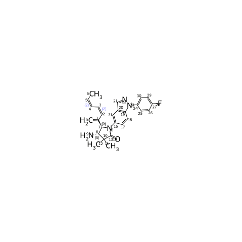 C=C(/C=C\C=C/C)[C@@H]1[C@@H](N)C(C)(C)C(=O)N1c1ccc2c(cnn2-c2ccc(F)cc2)c1